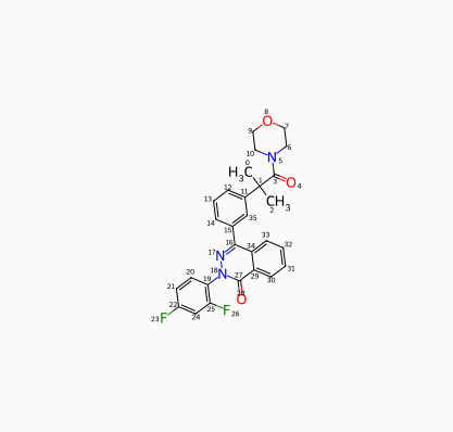 CC(C)(C(=O)N1CCOCC1)c1cccc(-c2nn(-c3ccc(F)cc3F)c(=O)c3ccccc23)c1